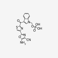 N#Cc1nc(-c2csc(C(=O)c3cn(COP(=O)(O)O)c4ccccc34)n2)oc1N